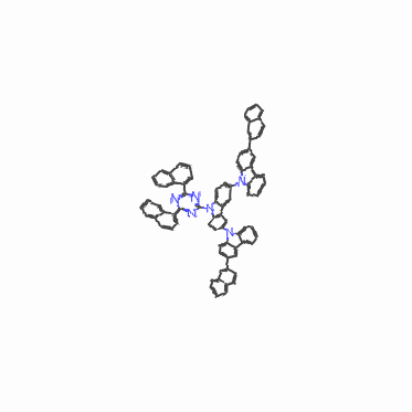 c1ccc2cc(-c3ccc4c(c3)c3ccccc3n4-c3ccc4c(c3)c3cc(-n5c6ccccc6c6cc(-c7ccc8ccccc8c7)ccc65)ccc3n4-c3nc(-c4cccc5ccccc45)nc(-c4cccc5ccccc45)n3)ccc2c1